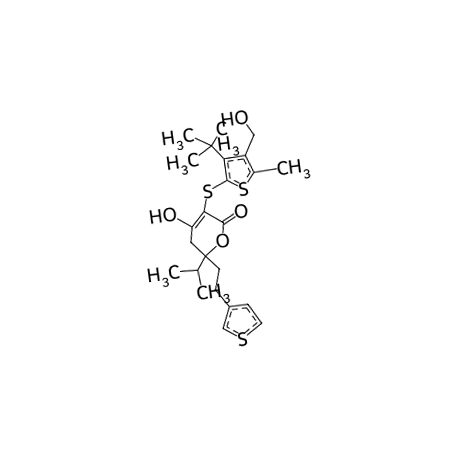 Cc1sc(SC2=C(O)CC(CCc3ccsc3)(C(C)C)OC2=O)c(C(C)(C)C)c1CO